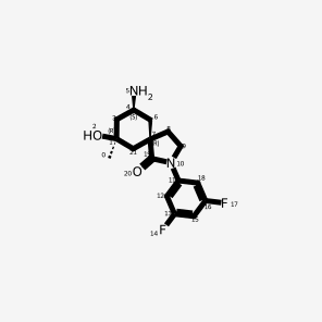 C[C@]1(O)C[C@@H](N)C[C@]2(CCN(c3cc(F)cc(F)c3)C2=O)C1